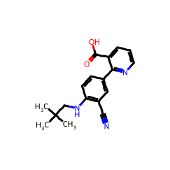 CC(C)(C)CNc1ccc(-c2ncccc2C(=O)O)cc1C#N